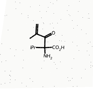 C=C(C)C(=O)C(N)(C(=O)O)C(C)C